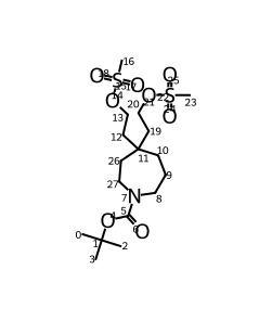 CC(C)(C)OC(=O)N1CCCC(CCOS(C)(=O)=O)(CCOS(C)(=O)=O)CC1